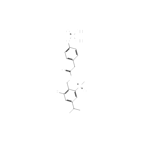 CC(C)c1cc(F)c(COC(=O)Cc2ccc(OP(=O)(O)O)cc2)c(S(C)(=O)=O)c1